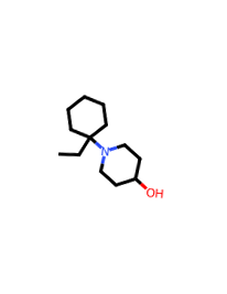 CCC1(N2CCC(O)CC2)CCCCC1